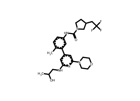 Cc1ccc(NC(=O)N2CCC(CC(F)(F)F)C2)cc1-c1cc(NCC(C)O)nc(N2CCOCC2)c1